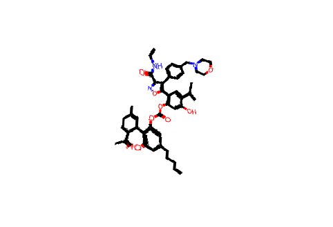 C=C(C)C1CCC(C)=CC1c1c(O)cc(CCCCC)cc1OC(=O)Oc1cc(O)c(C(C)C)cc1-c1onc(C(=O)NCC)c1-c1ccc(CN2CCOCC2)cc1